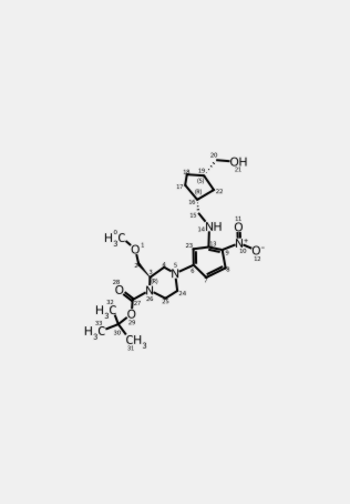 COC[C@H]1CN(c2ccc([N+](=O)[O-])c(NC[C@@H]3CC[C@H](CO)C3)c2)CCN1C(=O)OC(C)(C)C